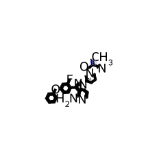 C/C=C(\C#N)C(=O)N1CCC[C@@H](n2nc(-c3ccc(Oc4ccccc4)cc3F)c3c(N)nccc32)C1